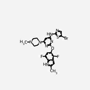 Cc1cc2c(F)c(Oc3nc(Nc4ncc(Br)s4)cc(N4CCN(C)CC4)n3)cc(F)c2[nH]1